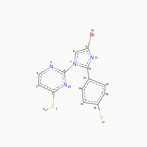 CSc1ccnc(-n2cc(Br)nc2-c2ccc(F)cc2)n1